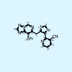 CCCc1c(Cc2scnc2-c2ncccc2C#N)ncn2ncnc12